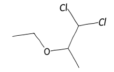 CCOC(C)C(Cl)Cl